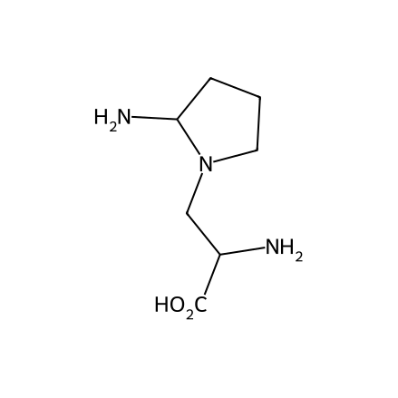 NC(CN1CCCC1N)C(=O)O